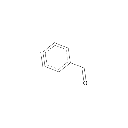 O=Cc1cc#ccc1